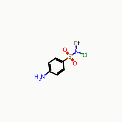 CCN(Cl)S(=O)(=O)c1ccc(N)cc1